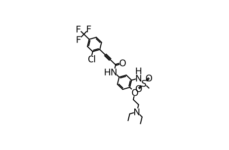 CCN(CC)CCOc1ccc(NC(=O)C#Cc2ccc(C(F)(F)F)cc2Cl)cc1NS(C)(=O)=O